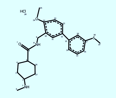 CNC1CCC(C(=O)NCc2cc(-c3cccc(SC)c3)ccc2OC)CC1.Cl